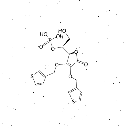 O=C1O[C@H]([C@H](CO)OP(=O)(O)O)C(OCc2ccsc2)=C1OCc1ccsc1